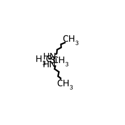 CCCCCCN[Si](C)(C)NCCCCCC